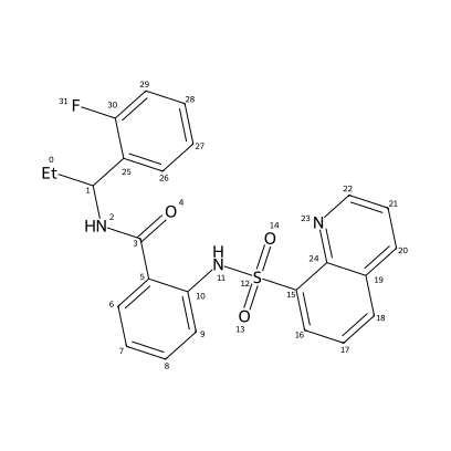 CCC(NC(=O)c1ccccc1NS(=O)(=O)c1cccc2cccnc12)c1ccccc1F